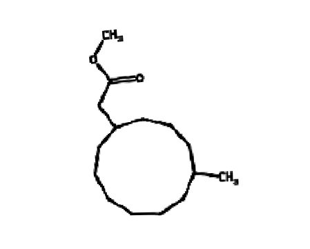 COC(=O)CC1CCCCCCC(C)CCC1